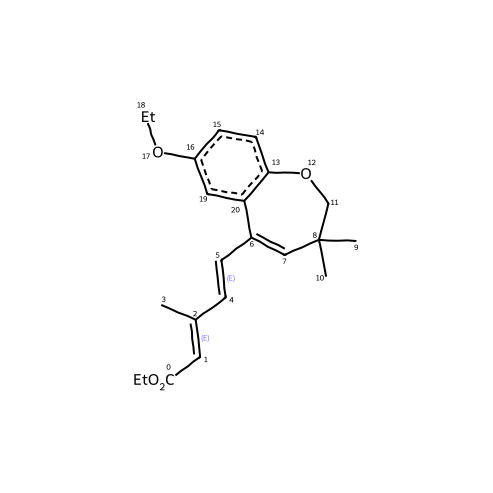 CCOC(=O)/C=C(C)/C=C/C1=CC(C)(C)COc2ccc(OCC)cc21